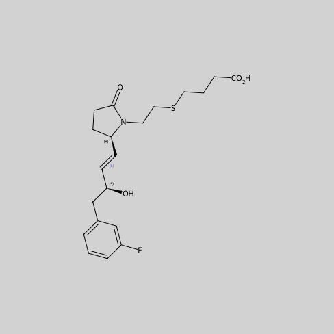 O=C(O)CCCSCCN1C(=O)CC[C@@H]1/C=C/[C@@H](O)Cc1cccc(F)c1